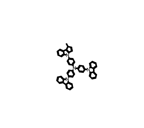 CC1C=Cc2c1c1ccccc1n2-c1ccc(N(c2ccc(-n3c4ccccc4c4ccccc43)cc2)c2ccc(-n3c4ccccc4c4ccccc43)cc2)cc1